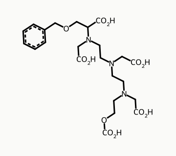 O=C(O)CN(CCOC(=O)O)CCN(CCN(CC(=O)O)C(COCc1ccccc1)C(=O)O)CC(=O)O